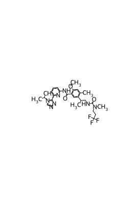 COc1cc(C)c(C(C)CNC(=O)N(C)CCC(F)(F)F)cc1C(=O)Nc1cccc(-c2nncn2C(C)C)n1